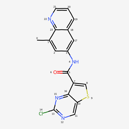 Cc1cc(NC(=O)c2csc3cnc(Cl)nc23)cc2cccnc12